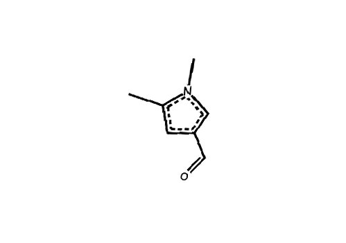 Cc1cc(C=O)cn1C